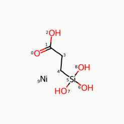 O=C(O)CC[Si](O)(O)O.[Ni]